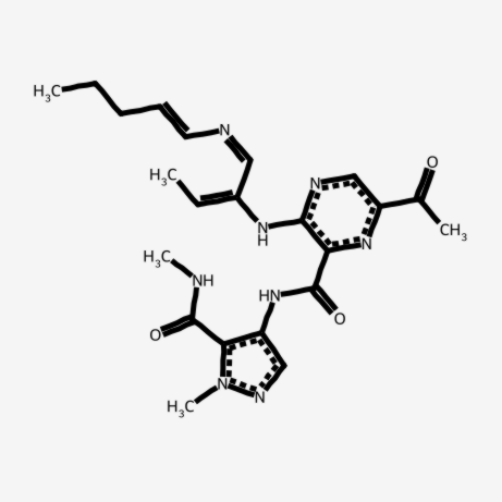 C\C=C(/C=N\C=C\CCC)Nc1ncc(C(C)=O)nc1C(=O)Nc1cnn(C)c1C(=O)NC